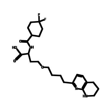 O=C(NC(CCOCCCCc1ccc2c(n1)NCCC2)C(=O)O)C1CCC(F)(F)CC1